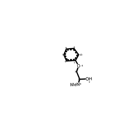 CNC(O)COc1ccccc1